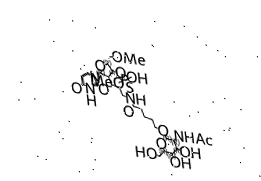 COC[C@H]1O[C@@H](n2ccc(=O)[nH]c2=O)C(CCCNC(=O)CCCCO[C@@H]2O[C@H](CO)[C@H](O)[C@H](O)[C@H]2NC(C)=O)[C@H]1OP(O)(=S)OC